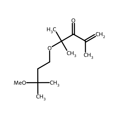 C=C(C)C(=O)C(C)(C)OCCC(C)(C)OC